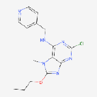 CCCOc1nc2nc(Cl)nc(NCc3ccncc3)c2n1C